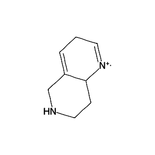 C1=[N+]C2CCNCC2=CC1